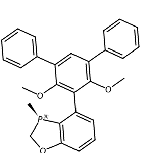 COc1c(-c2ccccc2)cc(-c2ccccc2)c(OC)c1-c1cccc2c1[P@](C)CO2